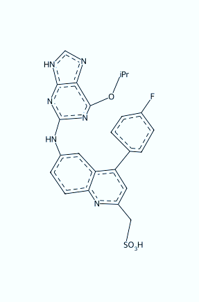 CC(C)Oc1nc(Nc2ccc3nc(CS(=O)(=O)O)cc(-c4ccc(F)cc4)c3c2)nc2[nH]cnc12